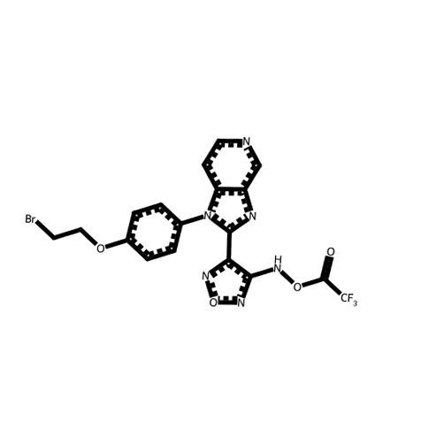 O=C(ONc1nonc1-c1nc2cnccc2n1-c1ccc(OCCBr)cc1)C(F)(F)F